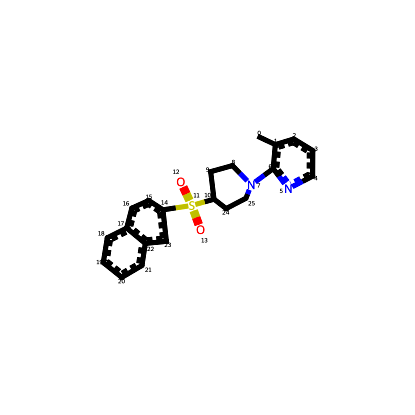 Cc1cccnc1N1CCC(S(=O)(=O)c2ccc3ccccc3c2)CC1